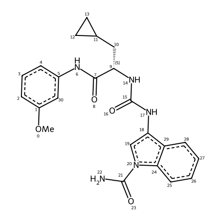 COc1cccc(NC(=O)[C@H](CC2CC2)NC(=O)Nc2cn(C(N)=O)c3ccccc23)c1